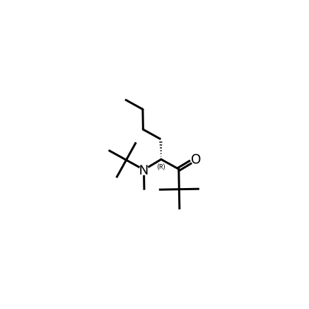 CCCC[C@H](C(=O)C(C)(C)C)N(C)C(C)(C)C